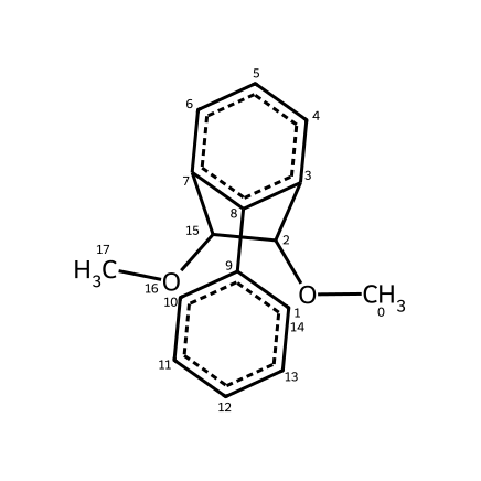 COC1c2cccc(c2-c2ccccc2)C1OC